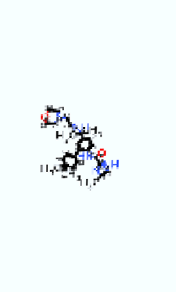 Cc1c[nH]c(C(=O)Nc2ccc(C(C)(C)NCCN3CCOCC3)cc2C2=CCC(C)(C)CC2)n1